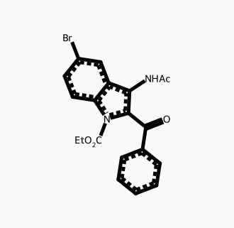 CCOC(=O)n1c(C(=O)c2ccccc2)c(NC(C)=O)c2cc(Br)ccc21